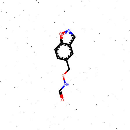 O=[C]NOCc1ccc2oncc2c1